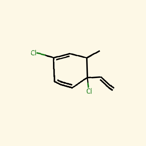 C=CC1(Cl)C=CC(Cl)=CC1C